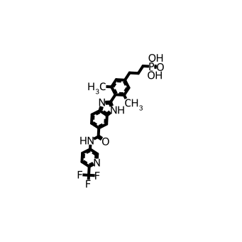 Cc1cc(CCCP(=O)(O)O)cc(C)c1-c1nc2ccc(C(=O)Nc3ccc(C(F)(F)F)nc3)cc2[nH]1